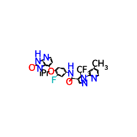 Cc1ccnc(-n2ncc(C(=O)Nc3ccc(Oc4ccnc5[nH]c(=O)n(C(C)C)c45)c(F)c3)c2C(F)(F)F)c1